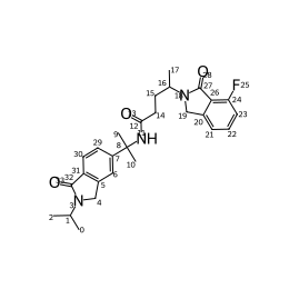 CC(C)N1Cc2cc(C(C)(C)NC(=O)CCC(C)N3Cc4cccc(F)c4C3=O)ccc2C1=O